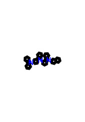 c1ccc2cc(-n3c4ccccc4c4c(-n5c6ccccc6c6cc(-n7c8ccccc8c8ccccc87)ccc65)cccc43)ccc2c1